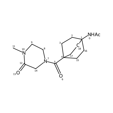 CC(=O)NC12CCC(C(=O)N3CCN(C)C(=O)C3)(CC1)CC2